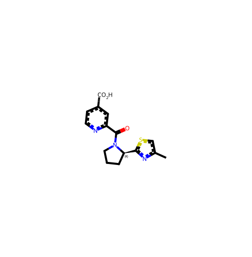 Cc1csc([C@H]2CCCN2C(=O)c2cc(C(=O)O)ccn2)n1